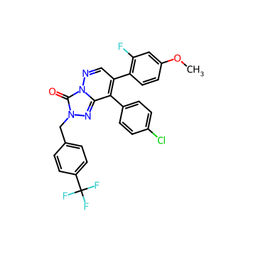 COc1ccc(-c2cnn3c(=O)n(Cc4ccc(C(F)(F)F)cc4)nc3c2-c2ccc(Cl)cc2)c(F)c1